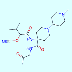 CC(=O)CNC(=O)C1(NC(=O)C(OC#N)C(C)C)CCN(C2CCN(C)CC2)CC1